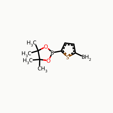 Bc1ccc(B2OC(C)(C)C(C)(C)O2)s1